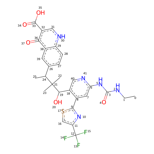 CCNC(=O)Nc1cc(-c2nc(C(F)(F)F)cs2)c(C(O)C(C)(C)C(C)c2ccc3[nH]cc(C(=O)O)c(=O)c3c2)cn1